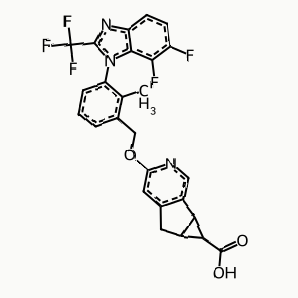 Cc1c(COc2cc3c(cn2)C2C(C3)C2C(=O)O)cccc1-n1c(C(F)(F)F)nc2ccc(F)c(F)c21